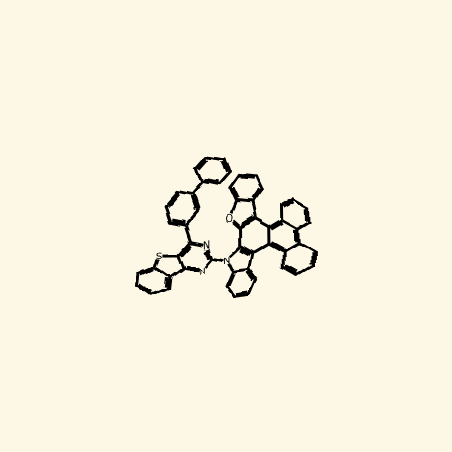 c1ccc(-c2cccc(-c3nc(-n4c5ccccc5c5c6c7ccccc7c7ccccc7c6c6c7ccccc7oc6c54)nc4c3sc3ccccc34)c2)cc1